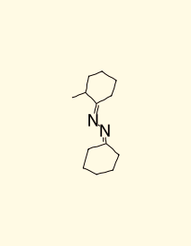 CC1CCCCC1=NN=C1CCCCC1